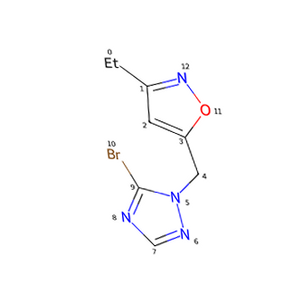 CCc1cc(Cn2ncnc2Br)on1